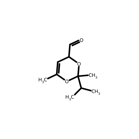 CC1=CC(C=O)OC(C)(C(C)C)O1